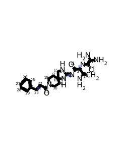 C=C(N)/C(=N\C(Cl)=C(N)N)C(=O)/N=C1\NCC2(CCN(C(=O)/C=C/c3ccccc3)CC2)N1